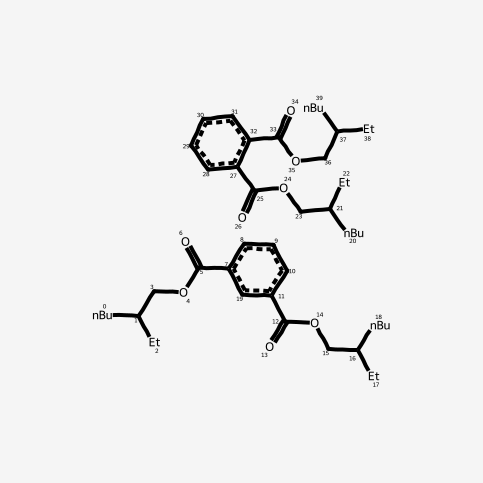 CCCCC(CC)COC(=O)c1cccc(C(=O)OCC(CC)CCCC)c1.CCCCC(CC)COC(=O)c1ccccc1C(=O)OCC(CC)CCCC